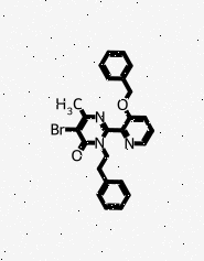 Cc1nc(-c2ncccc2OCc2ccccc2)n(CCc2ccccc2)c(=O)c1Br